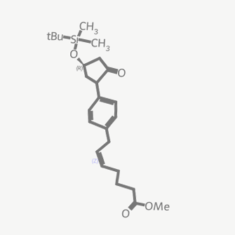 COC(=O)CCC/C=C\Cc1ccc(C2C[C@@H](O[Si](C)(C)C(C)(C)C)CC2=O)cc1